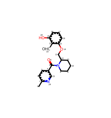 Cc1ccc(C(=O)N2CCCCC2COc2cccc(O)c2C=O)cn1